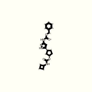 O=C(Nc1cc([C@H]2CC[C@@H](OC(=O)NC3CCC3)C2)[nH]n1)OCc1ccccc1